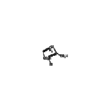 C=CC(=O)O.CCC=C(CC)C(=O)O